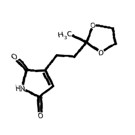 CC1(CCC2=CC(=O)NC2=O)OCCO1